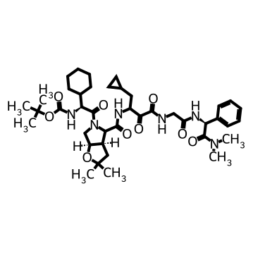 CN(C)C(=O)[C@@H](NC(=O)CNC(=O)C(=O)C(CC1CC1)NC(=O)C1[C@H]2CC(C)(C)O[C@H]2CN1C(=O)[C@@H](NC(=O)OC(C)(C)C)C1CCCCC1)c1ccccc1